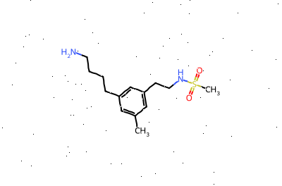 Cc1cc(CCCCN)cc(CCNS(C)(=O)=O)c1